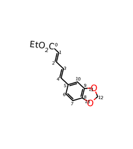 CCOC(=O)C=CC=Cc1ccc2c(c1)OCO2